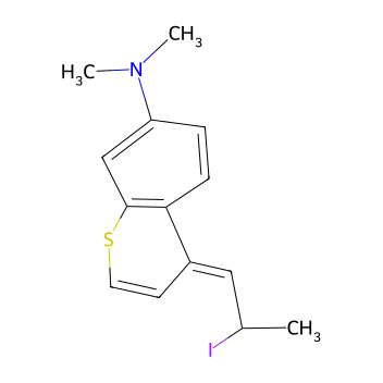 CC(I)/C=C1\C=CSc2cc(N(C)C)ccc21